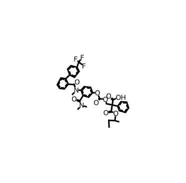 CCC(C)OC(=O)C(COC(=O)Oc1ccc(N(C)C(=O)c2ccccc2-c2ccc(C(F)(F)F)cc2)c(C(=O)N(C)C)c1)(C(=O)O)c1ccccc1